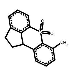 Cc1cccc2c1S(=O)(=O)c1cccc3c1C2CC3